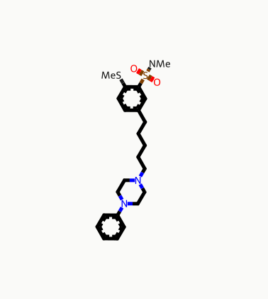 CNS(=O)(=O)c1cc(CCCCCN2CCN(c3ccccc3)CC2)ccc1SC